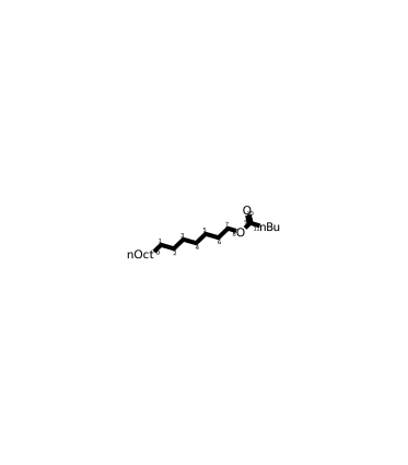 CCCCCCCCCCCCCCCOC(=O)CCCC